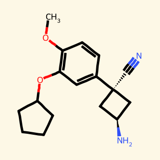 COc1ccc([C@]2(C#N)C[C@H](N)C2)cc1OC1CCCC1